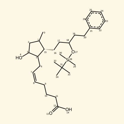 CC1CC(O)C(C/C=C\CCCC(=O)O)[C@H]1CCC(CCc1ccccc1)O[Si](C)(C)C(C)(C)C